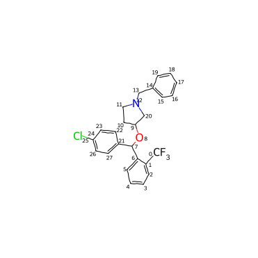 FC(F)(F)c1ccccc1C(OC1CCN(Cc2ccccc2)C1)c1ccc(Cl)cc1